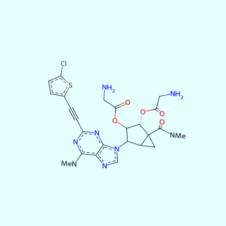 CNC(=O)C12CC1C(n1cnc3c(NC)nc(C#Cc4ccc(Cl)s4)nc31)C(OC(=O)CN)[C@@H]2OC(=O)CN